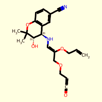 C=CCOC(=CN[C@@H]1c2cc(C#N)ccc2OC(C)(C)[C@H]1O)COCC=C=O